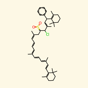 CC(C=CC=C(C)C=CC1=C(C)CCCC1(C)C)=CC=CC=C(C)CC(C(Cl)C(C)=CC(C1=C(C)CCCC1(C)C)c1ccccc1)=S(=O)=O